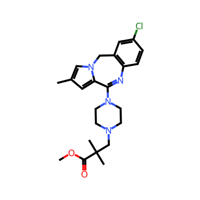 COC(=O)C(C)(C)CN1CCN(C2=Nc3ccc(Cl)cc3Cn3cc(C)cc32)CC1